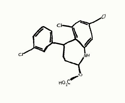 O=C(O)OC1CC(c2cccc(Cl)c2)c2c(Cl)cc(Cl)cc2N1